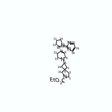 CCOC(=O)N1CCC2(CC(N3CC=C([C@@H]4CCCN4c4ncccn4)CC3)C2)C1